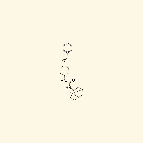 O=C(NC1CCC(OCc2ccccc2)CC1)NC12CC3CC(CC(C3)C1)C2